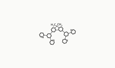 CC1(C)c2ccc(-c3cc(-c4ccccn4)cc(-c4ccccn4)c3)cc2-c2cc(-c3cc(-c4ccccn4)cc(-c4ccccn4)c3)ccc21